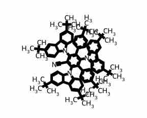 CC(C)(C)C1=CC2C3=C(CCC(C(C)(C)C)=C3)N(c3c(C#N)c(N4C5=C(C=C(C(C)(C)C)CC5)C5C=C(C(C)(C)C)C=CC54)c(-c4ccc(C(C)(C)C)cc4)c(-n4c5ccc(C(C)(C)C)cc5c5cc(C(C)(C)C)ccc54)c3-c3ccc(C(C)(C)C)cc3)C2C=C1